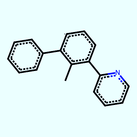 Cc1c(-c2ccccc2)[c]ccc1-c1ccccn1